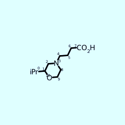 CC(C)C1CN(CCCC(=O)O)CCO1